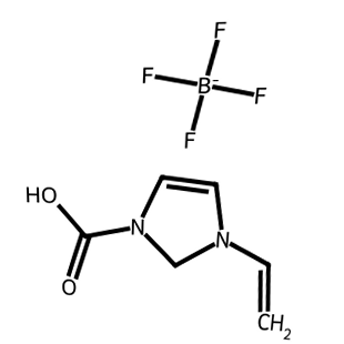 C=CN1C=CN(C(=O)O)C1.F[B-](F)(F)F